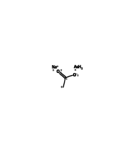 CC(=O)[O-].[AsH3].[Na+]